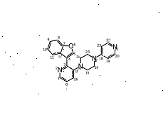 c1cnc(-c2coc3ccccc23)c(N2CCN(c3ccncc3)CC2)c1